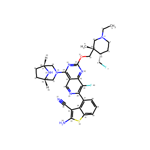 CCN1CC[C@H](CF)[C@](C)(COc2nc(N3C[C@H]4CC[C@@H](C3)N4)c3cnc(-c4cccc5sc(N)c(C#N)c45)c(F)c3n2)C1